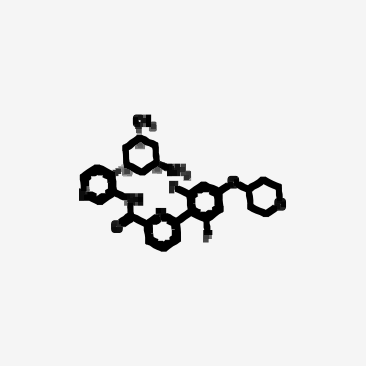 C[C@@H]1C[C@@H](N)C[C@H](c2ccncc2NC(=O)c2cccc(-c3c(F)cc(OC4CCOCC4)cc3F)n2)C1